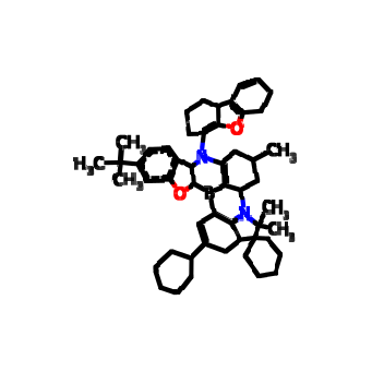 CC1CC2=C3B(C4C=C(C5CCCCC5)CC5C4N(C3C1)C(C)(C)C51CCCCC1)C1Oc3cc(C(C)(C)C)ccc3C1N2C1=C2OC3=C(C=CCC3)C2CCC1